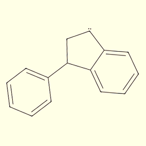 [C]1CC(c2ccccc2)c2ccccc21